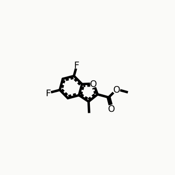 COC(=O)c1oc2c(F)cc(F)cc2c1C